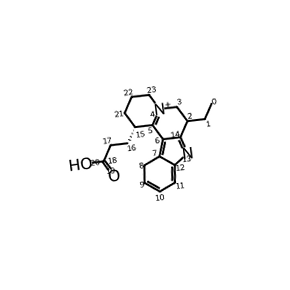 CCC1C[N+]2=C(C3=C4CC=CC=C4N=C31)[C@H](CCC(=O)O)CCC2